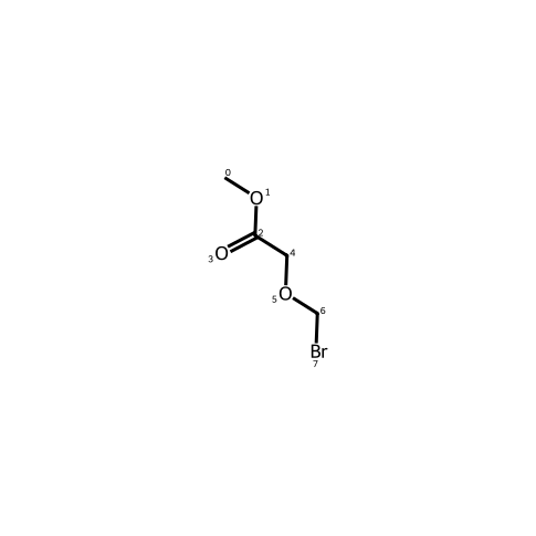 COC(=O)COCBr